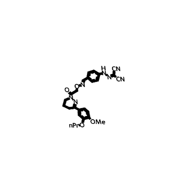 CCCOc1cc(C2=NN(C(=O)CON=Cc3ccc(NN=C(C#N)C#N)cc3)CCC2)ccc1OC